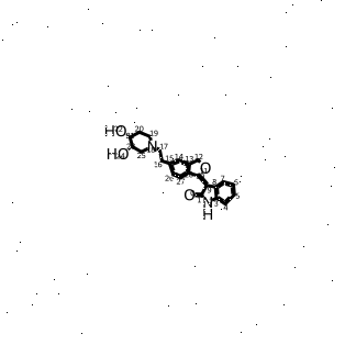 O=C1Nc2ccccc2C1=C1OCc2cc(CCN3CC[C@@H](O)[C@@H](O)C3)ccc21